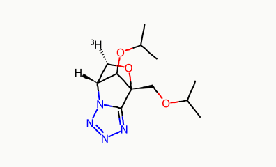 [3H][C@@H]1O[C@]2(COC(C)C)c3nnnn3[C@H]1C2OC(C)C